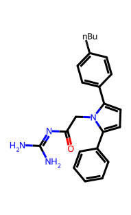 CCCCc1ccc(-c2ccc(-c3ccccc3)n2CC(=O)N=C(N)N)cc1